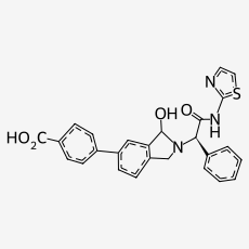 O=C(O)c1ccc(-c2ccc3c(c2)C(O)N([C@@H](C(=O)Nc2nccs2)c2ccccc2)C3)cc1